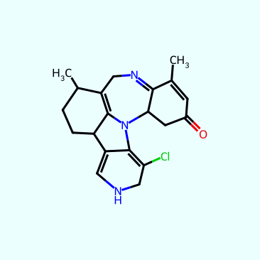 CC1=CC(=O)CC2C1=NCC1=C3C(CCC1C)C1=CNCC(Cl)=C1N32